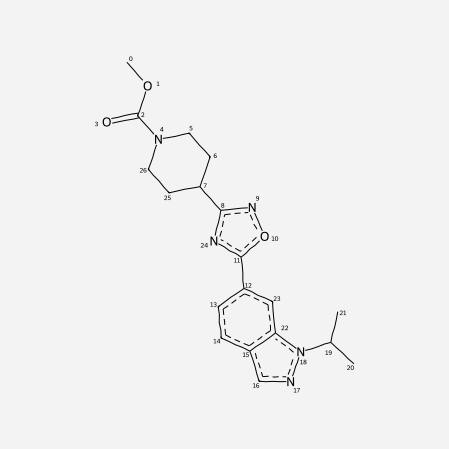 COC(=O)N1CCC(c2noc(-c3ccc4cnn(C(C)C)c4c3)n2)CC1